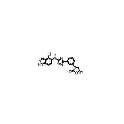 C[C@@H]1CN(c2cccc(-c3nsc(Nc4ccc5[nH]ncc5c4Cl)n3)c2)C(=O)O1